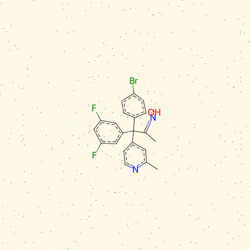 C/C(=N/O)C(c1ccc(Br)cc1)(c1cc(F)cc(F)c1)c1ccnc(C)c1